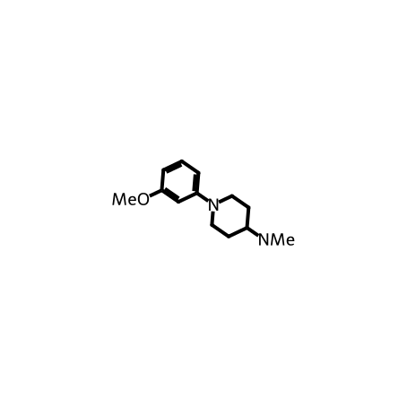 CNC1CCN(c2cccc(OC)c2)CC1